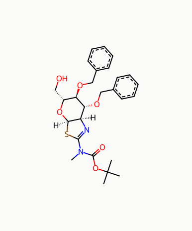 CN(C(=O)OC(C)(C)C)C1=N[C@@H]2[C@@H](OCc3ccccc3)[C@H](OCc3ccccc3)[C@@H](CO)O[C@@H]2S1